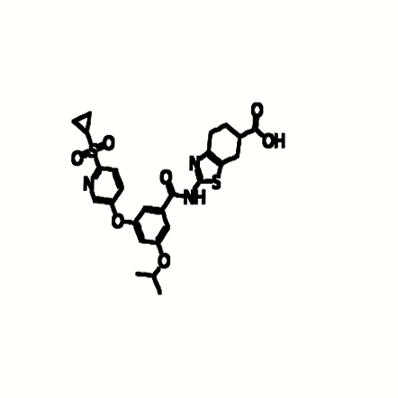 CC(C)Oc1cc(Oc2ccc(S(=O)(=O)C3CC3)nc2)cc(C(=O)Nc2nc3c(s2)CC(C(=O)O)CC3)c1